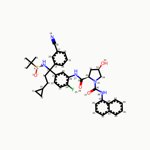 CC(C)(C)[S+]([O-])NC(CCC1CC1)(c1cccc(C#N)c1)c1ccc(F)c(NC(=O)[C@H]2C[C@@H](O)CN2C(=O)Nc2cccc3ccccc23)c1